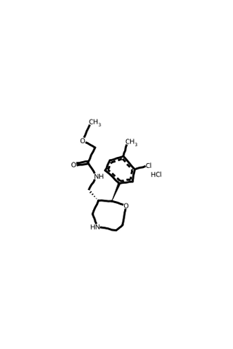 COCC(=O)NC[C@H]1CNCCO[C@@H]1c1ccc(C)c(Cl)c1.Cl